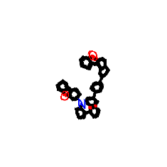 c1ccc(-c2ccccc2N(c2cccc(-c3ccc(-c4ccc5ccc6oc7ccccc7c6c5c4)cc3)c2)c2ccc3c(c2)oc2ccccc23)cc1